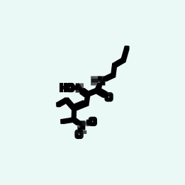 CCCCNC(=O)C(C=C(CC)C(C)[N+](=O)[O-])=NO